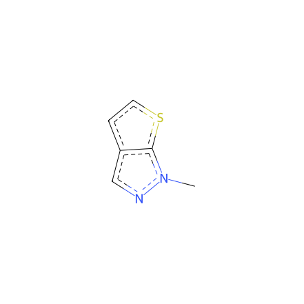 Cn1ncc2ccsc21